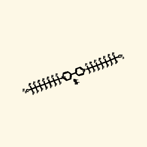 FC(F)(F)C(F)(F)C(F)(F)C(F)(F)C(F)(F)C(F)(F)C(F)(F)C(F)(F)[n+]1ccc(-c2cc[n+](C(F)(F)C(F)(F)C(F)(F)C(F)(F)C(F)(F)C(F)(F)C(F)(F)C(F)(F)F)cc2)cc1.[Br-].[Br-]